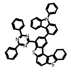 C1=Cc2sc3ccc4sc5c(-c6nc(-c7ccccc7)nc(-c7ccccc7)n6)cc(-c6cccc7c6c6ccccc6n7-c6ccccc6)cc5c4c3c2CC1